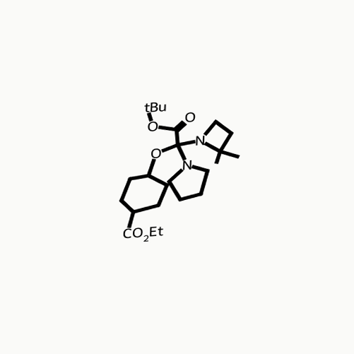 CCOC(=O)C1CCC(OC(C(=O)OC(C)(C)C)(N2CCCC2)N2CCC2(C)C)CC1